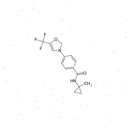 CC1(NC(=O)c2ccc(N3C=C(C(F)(F)F)OC3)cc2)CC1